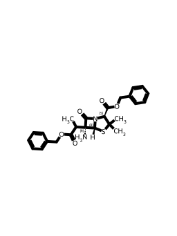 CC(C(=O)OCc1ccccc1)[C@@]1(N)C(=O)N2[C@@H](C(=O)OCc3ccccc3)C(C)(C)S[C@@H]21